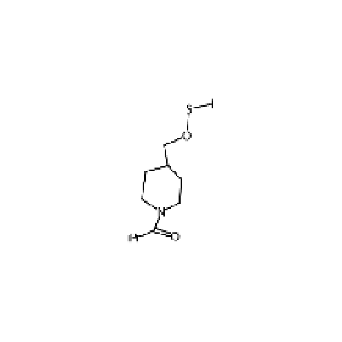 CC(C)C(=O)N1CCC(COSI)CC1